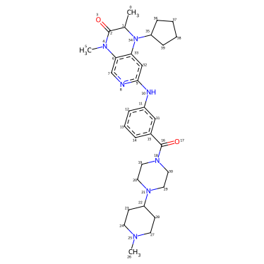 CC1C(=O)N(C)c2cnc(Nc3cccc(C(=O)N4CCN(C5CCN(C)CC5)CC4)c3)cc2N1C1CCCC1